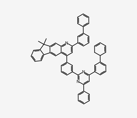 CC1(C)c2ccccc2-c2cc3c(-c4cccc(-c5nc(-c6ccccc6)cc(-c6cccc(C7C=CC=CC7)c6)n5)c4)cc(-c4cccc(-c5ccccc5)c4)nc3cc21